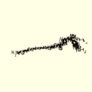 NCCOCCOCCOCCOCCOCCOCCOCCOCCC(=O)NCc1ncc(Cn2nc(-c3ccc4oc(N)nc4c3)c3c(N)ncnc32)cn1